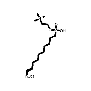 CCCCCCCC/C=C/CCCCCCCCP(=O)(O)OCC[N+](C)(C)C